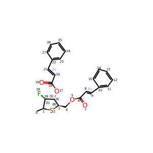 CC1S[C@H](COC(=O)/C=C/c2ccccc2)[C@@H](OC(=O)/C=C/c2ccccc2)[C@@H]1F